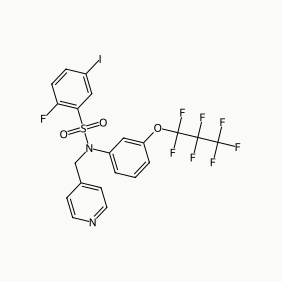 O=S(=O)(c1cc(I)ccc1F)N(Cc1ccncc1)c1cccc(OC(F)(F)C(F)(F)C(F)(F)F)c1